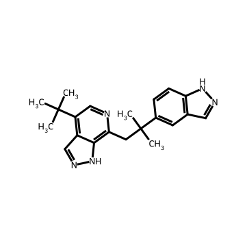 CC(C)(C)c1cnc(CC(C)(C)c2ccc3[nH]ncc3c2)c2[nH]ncc12